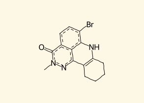 Cn1nc2c3c(c(Br)ccc3c1=O)NC1=C2CCCC1